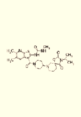 CNC(=O)Nc1sc2nc(C)c(C)cc2c1C(=O)N1CCC(N2CCCC3(C2)OC(=O)N(C(C)C)C3=O)CC1